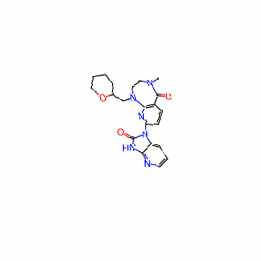 CN1CCN(CC2CCCCO2)c2nc(-n3c(=O)[nH]c4ncccc43)ccc2C1=O